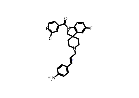 Nc1ccc(/C=C/CN2CCC3(CC2)CN(C(=O)c2ccnc(Cl)c2)c2ccc(F)cc23)cc1